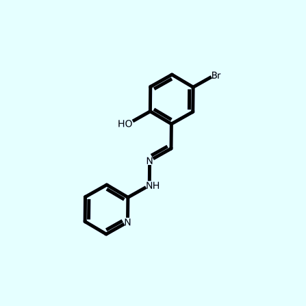 Oc1ccc(Br)cc1C=NNc1ccccn1